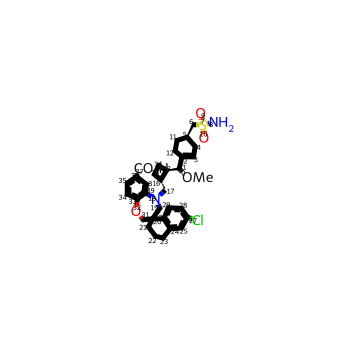 COC(C1=CC[C@H](CS(N)(=O)=O)CC1)[C@@H]1CC[C@H]1CN1CC2(CCCc3cc(Cl)ccc32)COc2ccc(C(=O)O)cc21